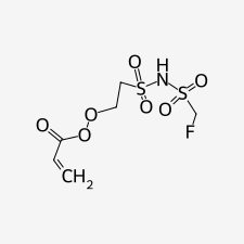 C=CC(=O)OOCCS(=O)(=O)NS(=O)(=O)CF